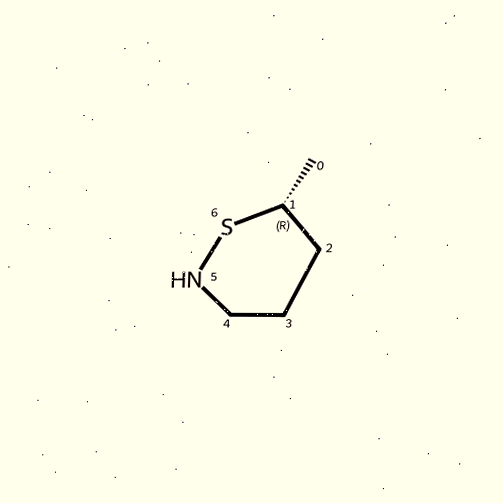 C[C@@H]1CCCNS1